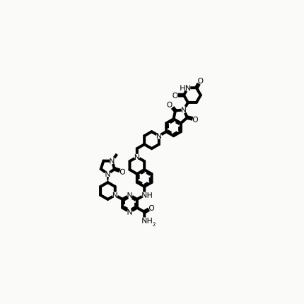 CN1CCN([C@@H]2CCCN(c3cnc(C(N)=O)c(Nc4ccc5c(c4)CCN(CC4CCN(c6ccc7c(c6)C(=O)N(C6CCC(=O)NC6=O)C7=O)CC4)C5)n3)C2)C1=O